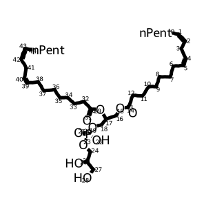 CCCCC/C=C\C/C=C\CCCCCCCC(=O)OCC(COP(=O)(O)OCC(O)CO)OC(=O)CCCCCCC/C=C\C/C=C\CCCCC